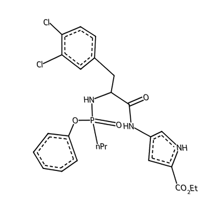 CCCP(=O)(NC(Cc1ccc(Cl)c(Cl)c1)C(=O)Nc1c[nH]c(C(=O)OCC)c1)Oc1ccccc1